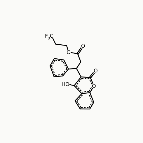 O=C(CC(c1ccccc1)c1c(O)c2ccccc2oc1=O)OCCC(F)(F)F